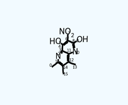 Cc1nc2c(O)c([N+](=O)[O-])c(O)nc2c(C)c1C